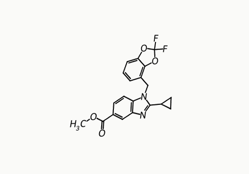 COC(=O)c1ccc2c(c1)nc(C1CC1)n2Cc1cccc2c1OC(F)(F)O2